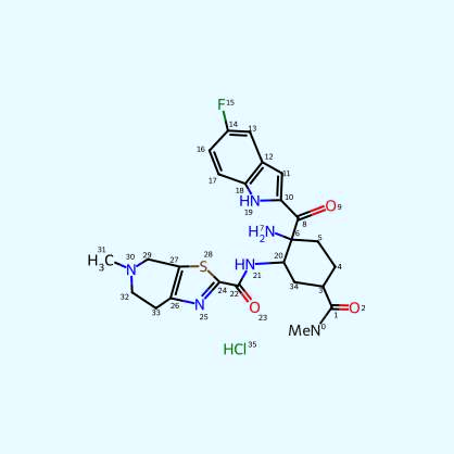 CNC(=O)C1CCC(N)(C(=O)c2cc3cc(F)ccc3[nH]2)C(NC(=O)c2nc3c(s2)CN(C)CC3)C1.Cl